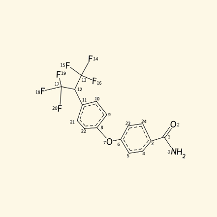 NC(=O)c1ccc(Oc2ccc(C(C(F)(F)F)C(F)(F)F)cc2)cc1